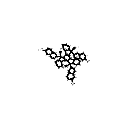 C#CC1(c2ccc3cc(O)ccc3c2)c2ccccc2-c2c1c1c(c3c2C(C#C)(c2ccc4cc(O)ccc4c2)c2ccccc2-3)C(C#C)(c2ccc3cc(O)ccc3c2)c2ccccc2-1